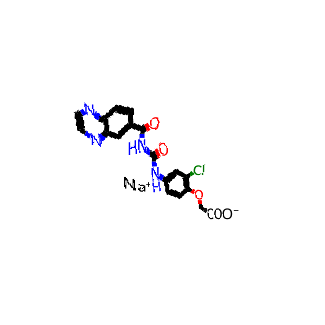 O=C([O-])COc1ccc(NC(=O)NC(=O)c2ccc3nccnc3c2)cc1Cl.[Na+]